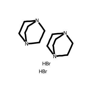 Br.Br.C1CN2CCN1CC2.C1CN2CCN1CC2